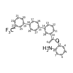 C=C(Oc1ccccc1N)c1cccc(-c2ccc(-c3cccc(C(F)(F)F)c3)cc2)c1